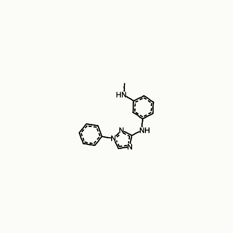 CNc1cccc(Nc2ncn(-c3ccccc3)n2)c1